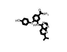 CC(C)c1ccc2c([AsH]c3cc(C(N)=O)ccc3Sc3ccc(O)cc3)ncnc2n1